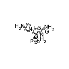 NC(=O)c1sc2cc(N3CCC(N)CC3)cc(OCC(F)(F)F)c2c1N